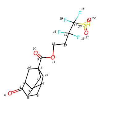 O=C1C2CC3CC1CC(C(=O)OCCC(F)(F)C(F)(F)[SH](=O)=O)(C3)C2